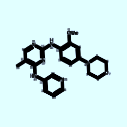 COc1cc(N2CCOCC2)ccc1Nc1ncc(C)c(Nc2cccnc2)n1